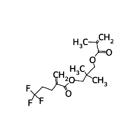 C=C(C)C(=O)OCC(C)(C)COC(=O)C(=C)CCC(F)(F)F